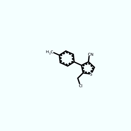 Cc1ccc(-c2c(C#N)csc2CCl)cc1